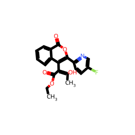 CCOC(=O)/C(=C(\C)O)c1c(-c2ccc(F)cn2)oc(=O)c2ccccc12